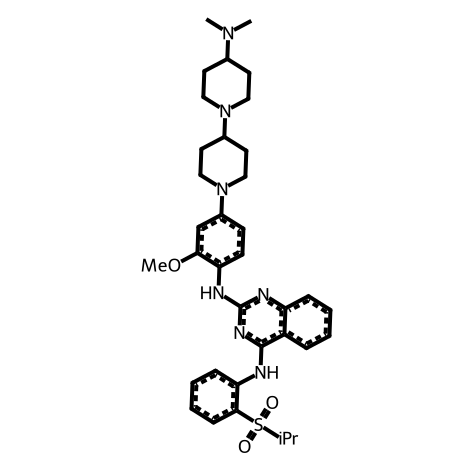 COc1cc(N2CCC(N3CCC(N(C)C)CC3)CC2)ccc1Nc1nc(Nc2ccccc2S(=O)(=O)C(C)C)c2ccccc2n1